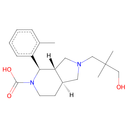 Cc1ccccc1[C@H]1[C@@H]2CN(CC(C)(C)CO)C[C@H]2CCN1C(=O)O